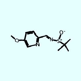 COc1ccc(C=N[S+]([O-])C(C)(C)C)nc1